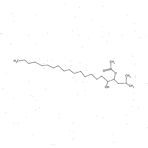 CCCCCCCCCCCCCCCCC(O)C([CH]C(C)C)OC(C)=O